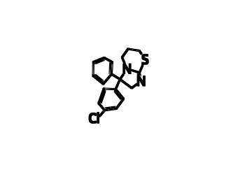 Clc1ccc(C2(c3ccccc3)CN=C3SCCCN32)cc1